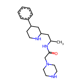 CC(CC1CC(c2ccccc2)CCN1)NC(=O)CN1CCNCC1